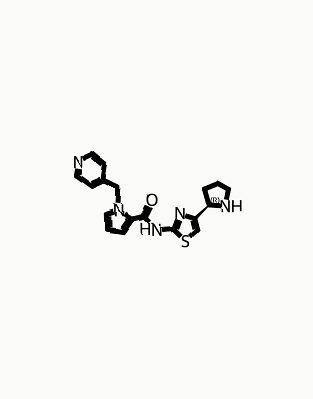 O=C(Nc1nc([C@H]2CCCN2)cs1)c1cccn1Cc1ccncc1